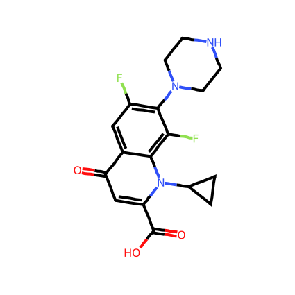 O=C(O)c1cc(=O)c2cc(F)c(N3CCNCC3)c(F)c2n1C1CC1